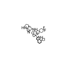 N#CC(C[C@@H]1CCCNC1=O)NC(=O)C1CC2(CCC(F)(F)CC2)CN1C(=O)c1cc2cccc(Cl)c2[nH]1